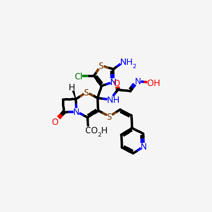 Nc1nc(C2(NC(=O)C=NO)S[C@H]3CC(=O)N3C(C(=O)O)=C2S/C=C\c2cccnc2)c(Cl)s1